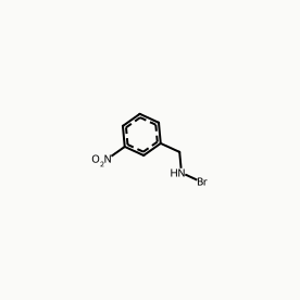 O=[N+]([O-])c1cccc(CNBr)c1